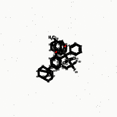 Cc1ccc(C(c2ccccc2)(c2ccccc2)S(=O)(=O)C(F)(F)COCC(OC(=O)C23CC4CC(CC(C4)C2)C3)C23CC4CC(CC(C4)C2)C3)cc1